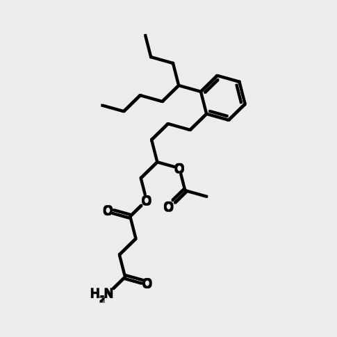 CCCCC(CCC)c1ccccc1CCCC(COC(=O)CCC(N)=O)OC(C)=O